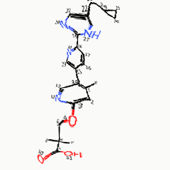 Cc1cc(OCC(C)(C)C(=O)O)ncc1-c1ccc(-c2ncc(CC3CC3)[nH]2)nc1